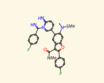 CNC(=O)c1c(-c2ccc(F)cc2)oc2cc(N(C)SC)c(-c3ccc(=N)n(C(=N)c4ccc(F)cc4)c3)cc12